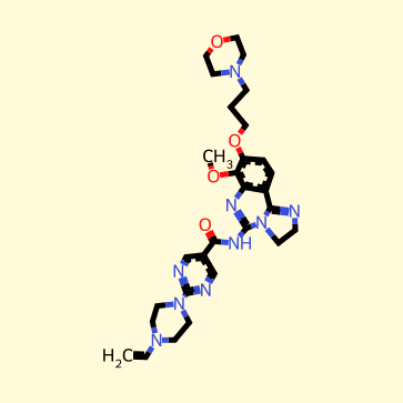 C=CN1CCN(c2ncc(C(=O)NC3=Nc4c(ccc(OCCCN5CCOCC5)c4OC)C4=NCCN34)cn2)CC1